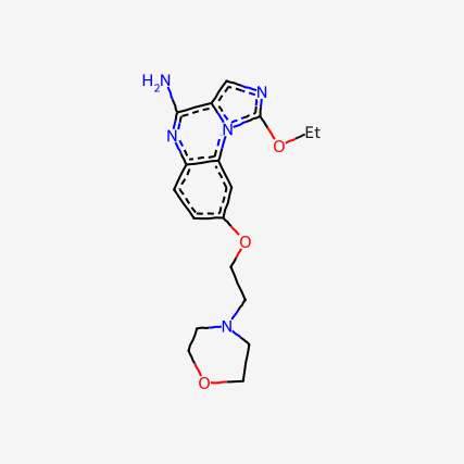 CCOc1ncc2c(N)nc3ccc(OCCN4CCOCC4)cc3n12